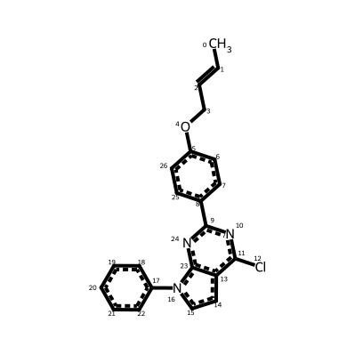 CC=CCOc1ccc(-c2nc(Cl)c3ccn(-c4ccccc4)c3n2)cc1